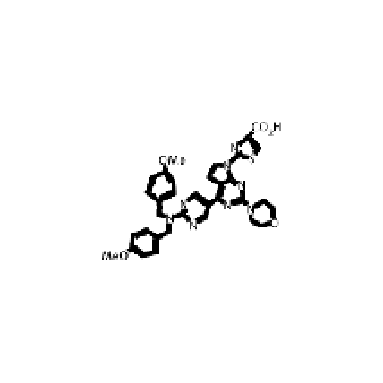 COc1ccc(CN(Cc2ccc(OC)cc2)c2ncc(-c3nc(N4CCOCC4)nc4c3CCN4c3nc(C(=O)O)cs3)cn2)cc1